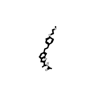 COCCOc1ccc(CCc2ccc3cc(C(C)NC(C)=O)oc3c2)cc1